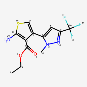 CCOC(=O)c1c(-c2cc(C(F)(F)F)nn2C)csc1N